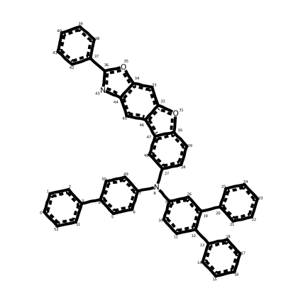 c1ccc(-c2ccc(N(c3ccc(-c4ccccc4)c(-c4ccccc4)c3)c3ccc4oc5cc6oc(-c7ccccc7)nc6cc5c4c3)cc2)cc1